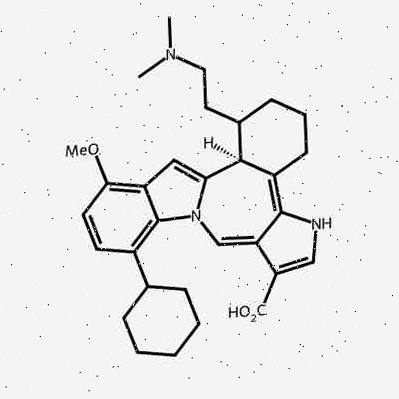 COc1ccc(C2CCCCC2)c2c1cc1n2C=c2c(C(=O)O)c[nH]c2=C2CCCC(CCN(C)C)[C@@H]21